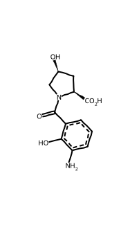 Nc1cccc(C(=O)N2C[C@@H](O)C[C@H]2C(=O)O)c1O